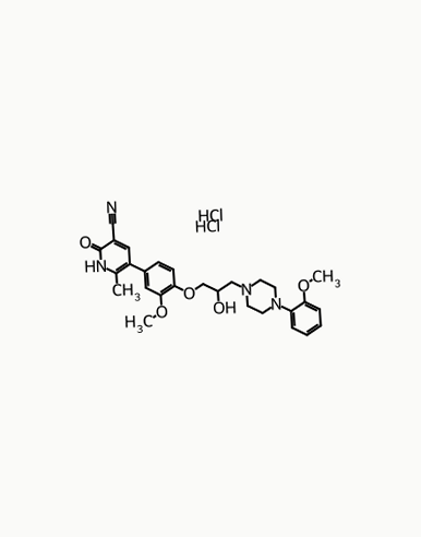 COc1cc(-c2cc(C#N)c(=O)[nH]c2C)ccc1OCC(O)CN1CCN(c2ccccc2OC)CC1.Cl.Cl